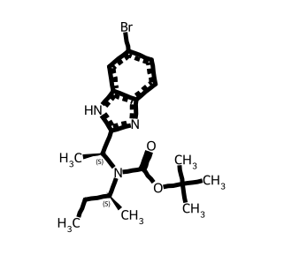 CC[C@H](C)N(C(=O)OC(C)(C)C)[C@@H](C)c1nc2ccc(Br)cc2[nH]1